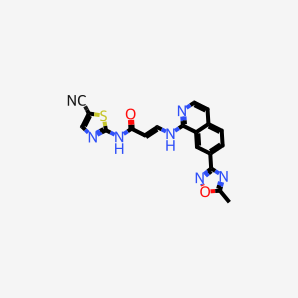 Cc1nc(-c2ccc3ccnc(NC=CC(=O)Nc4ncc(C#N)s4)c3c2)no1